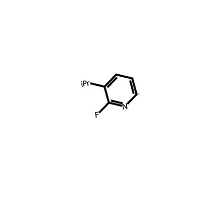 CC(C)c1cc[c]nc1F